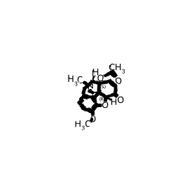 COc1ccc2c3c1O[C@H]1C(=O)C=C[C@@]4(OC(C)=O)[C@@H](C2)N(C)CC[C@]314